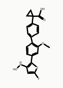 COc1cc(-c2sc(F)cc2NO)ccc1-c1ccc(C2(C(=O)O)CC2)cc1